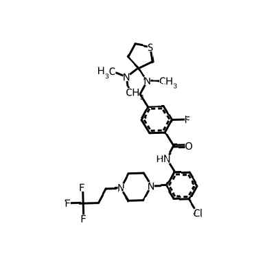 CN(C)C1(N(C)Cc2ccc(C(=O)Nc3ccc(Cl)cc3N3CCN(CCC(F)(F)F)CC3)c(F)c2)CCSC1